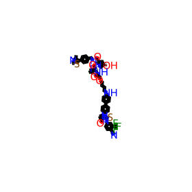 Cc1ncsc1-c1ccc(CNC(=O)[C@@H]2C[C@@H](O)CN2C(=O)[C@@H](NC(=O)COCCCCNc2ccc(-c3ccc(N4C(=S)N(c5ccc(C#N)c(C(F)(F)F)c5)C(=O)C4(C)C)cc3)cc2)C(C)(C)C)cc1